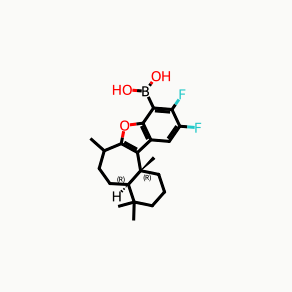 CC1CC[C@@H]2C(C)(C)CCC[C@@]2(C)c2c1oc1c(B(O)O)c(F)c(F)cc21